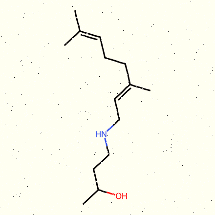 CC(C)=CCCC(C)=CCNCCC(C)O